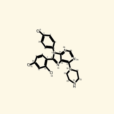 Clc1ccc(-n2c(-c3ccc(Cl)cc3Cl)nc3c(N4CCNCC4)ncnc32)cc1